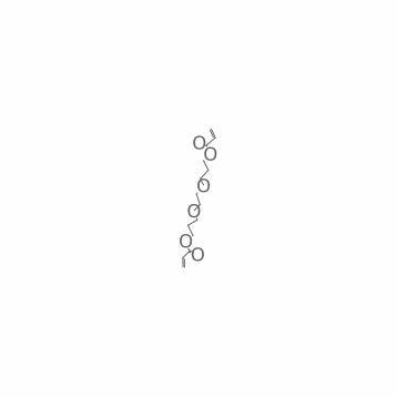 C=CC(=O)OCCCOCCOCCCOC(=O)C=C